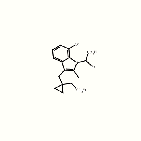 CCOC(=O)CC1(Cc2c(C)n(C(CC)C(=O)O)c3c(Br)cccc23)CC1